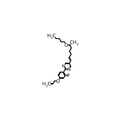 C=CCOc1ccc(-c2ncc(/C=C/CCCC(C)OCCCCC)cn2)c(F)c1